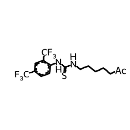 CC(=O)CCCCCNC(=S)Nc1ccc(C(F)(F)F)cc1C(F)(F)F